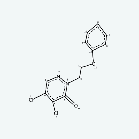 O=c1c(Cl)c(Cl)cnn1CCOc1ccccc1